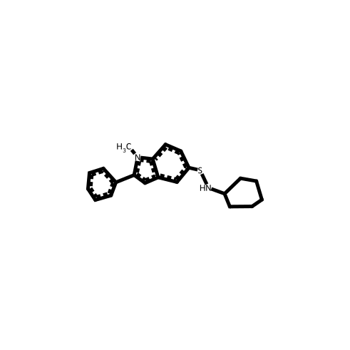 Cn1c(-c2ccccc2)cc2cc(SNC3CCCCC3)ccc21